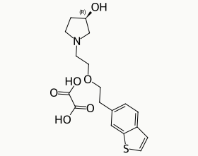 O=C(O)C(=O)O.O[C@@H]1CCN(CCOCCc2ccc3ccsc3c2)C1